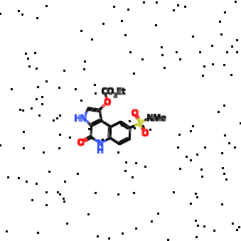 CCOC(=O)Oc1c[nH]c2c(=O)[nH]c3ccc(S(=O)(=O)NC)cc3c12